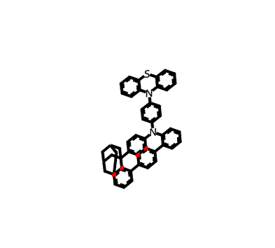 c1ccc(-c2ccc(-c3ccccc3N(c3ccc(N4c5ccccc5Sc5ccccc54)cc3)c3ccc(C45CC6CC(CC(C6)C4)C5)cc3)cc2)cc1